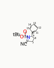 CC(C)(C)OC(=O)N1C(C#N)CC[C@@H]1c1ccccc1